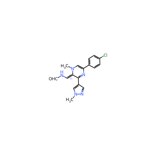 CN1C=C(c2ccc(Cl)cc2)N=C(c2cnn(C)c2)/C1=C/NC=O